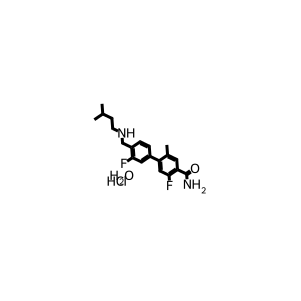 Cc1cc(C(N)=O)c(F)cc1-c1ccc(CNCCC(C)C)c(F)c1.Cl.O